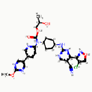 COc1ncc(-c2ccc(N(C(=O)OCC(C)O)[C@H]3CC[C@H](Nc4ncc(C#N)c(-c5nocc5Cl)n4)CC3)nc2)cn1